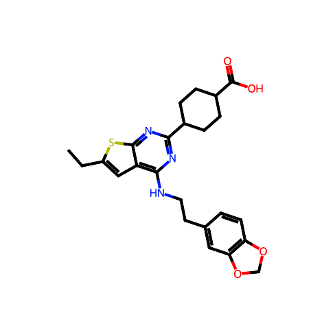 CCc1cc2c(NCCc3ccc4c(c3)OCO4)nc(C3CCC(C(=O)O)CC3)nc2s1